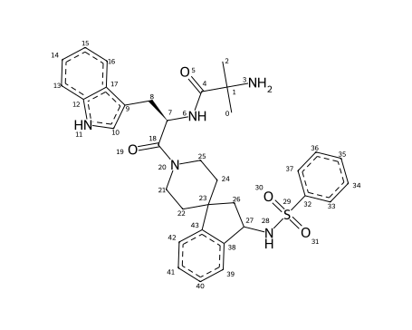 CC(C)(N)C(=O)N[C@H](Cc1c[nH]c2ccccc12)C(=O)N1CCC2(CC1)CC(NS(=O)(=O)c1ccccc1)c1ccccc12